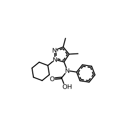 Cc1nn(C2CCCCC2)c(N(C(=O)O)c2ccccc2)c1C